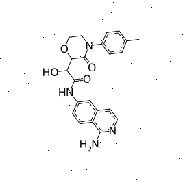 Cc1ccc(N2CCOC(C(O)C(=O)Nc3ccc4c(N)nccc4c3)C2=O)cc1